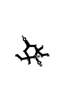 CCC1(C)CC(=O)CC(C)(CC)N1[O]